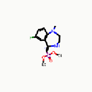 CCOP(=O)(/C=C1\NCCN(C)c2ccc(F)cc21)OCC